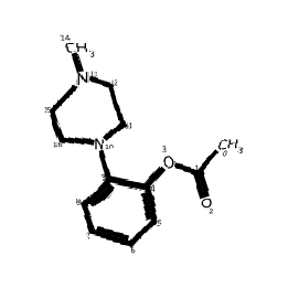 CC(=O)Oc1ccccc1N1CCN(C)CC1